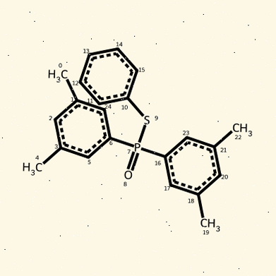 Cc1cc(C)cc(P(=O)(Sc2ccccc2)c2cc(C)cc(C)c2)c1